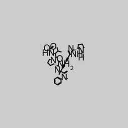 C=C(N(C)c1ccccc1)C(C)(C#CC#Cc1cnc([C@@H]2CCCN2)[nH]1)/N=C(\N)[C@@H]1CCCN1C(=O)[C@@H](NC(=O)OC)C(C)C